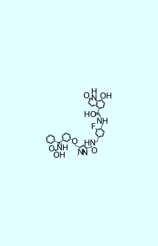 Cn1nc(C(=O)NCc2ccc(CNC[C@H](O)c3ccc(O)c4[nH]c(=O)ccc34)c(F)c2)cc1COc1cccc([C@@H](NC(=O)O)c2ccccc2)c1